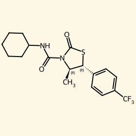 C[C@@H]1[C@@H](c2ccc(C(F)(F)F)cc2)SC(=O)N1C(=O)NC1CCCCC1